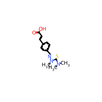 CN(C)C(=S)N(C)N=Cc1ccc(C=CC(=O)O)cc1